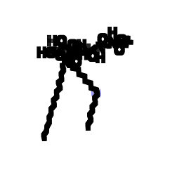 CCCCCCCC/C=C\CCCCCCCC(=O)N(CCCCCCCCCCCCCCCCCC)[C@@H]1O[C@H](CO)[C@@H](O)[C@H](O)[C@H]1NC(=O)CNC(=O)CNC(=O)CNC(=O)OC(C)(C)C